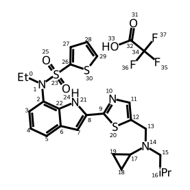 CCN(c1cccc2cc(-c3ncc(CN(CC(C)C)C4CC4)s3)[nH]c12)S(=O)(=O)c1cccs1.O=C(O)C(F)(F)F